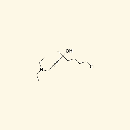 CCN(CC)CC#CC(C)(O)CCCCCl